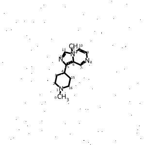 CN1CCC(C2=C3C=NC=C[N+]3(C)C=N2)CC1